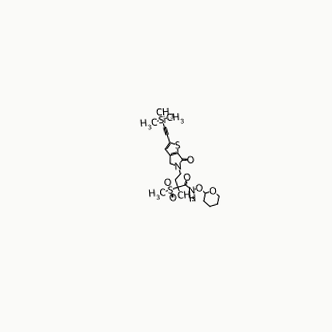 CC(CCN1Cc2cc(C#C[Si](C)(C)C)sc2C1=O)(C(=O)NOC1CCCCO1)S(C)(=O)=O